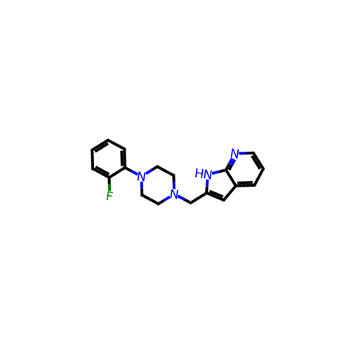 Fc1ccccc1N1CCN(Cc2cc3cccnc3[nH]2)CC1